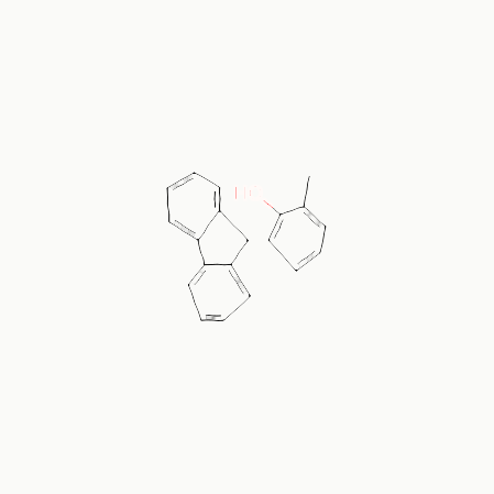 Cc1ccccc1O.c1ccc2c(c1)Cc1ccccc1-2